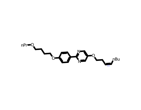 CCCC/C=C\CCOc1cnc(-c2ccc(OCCCCOCCC)cc2)nc1